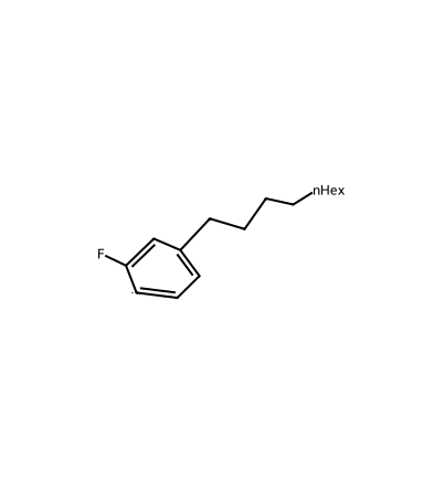 CCCCCCCCCCc1cc[c]c(F)c1